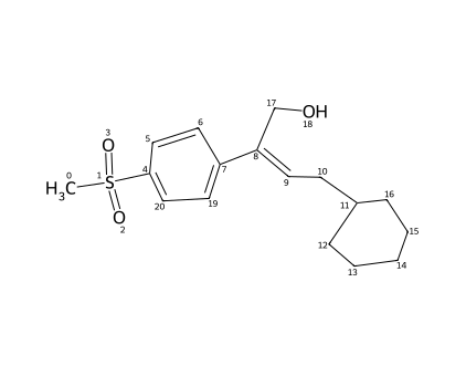 CS(=O)(=O)c1ccc(C(=CCC2CCCCC2)CO)cc1